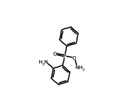 NOP(=O)(c1ccccc1)c1ccccc1N